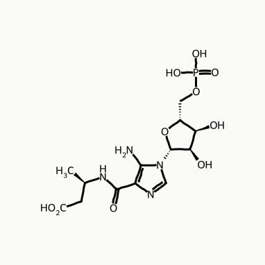 C[C@H](CC(=O)O)NC(=O)c1ncn([C@@H]2O[C@H](COP(=O)(O)O)[C@@H](O)[C@H]2O)c1N